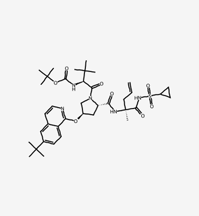 C=CC[C@](C)(NC(=O)[C@@H]1C[C@@H](Oc2nccc3cc(C(C)(C)C)ccc23)CN1C(=O)[C@@H](NC(=O)OC(C)(C)C)C(C)(C)C)C(=O)NS(=O)(=O)C1CC1